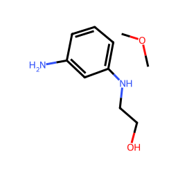 COC.Nc1cccc(NCCO)c1